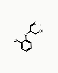 C=CC(CO)Oc1ccccc1Cl